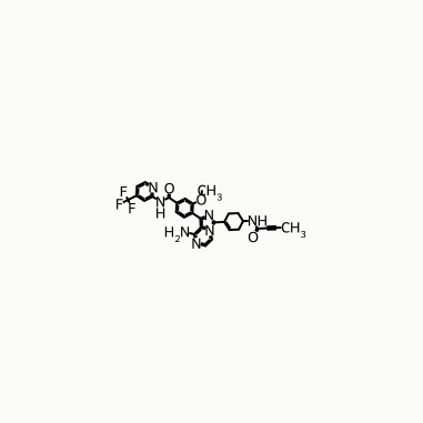 CC#CC(=O)NC1CC=C(c2nc(-c3ccc(C(=O)Nc4cc(C(F)(F)F)ccn4)cc3OC)c3c(N)nccn23)CC1